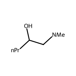 [CH2]CCC(O)CNC